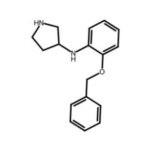 c1ccc(COc2ccccc2NC2CCNC2)cc1